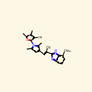 COc1cccc2nc(/C(C#N)=C/c3cc(C)n(-c4oc(C)c(C)c4C#N)c3C)[nH]c12